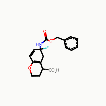 O=C(NC1(F)C=CC2=C(C1)C(C(=O)O)CCO2)OCc1ccccc1